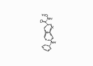 O=C(NO)c1cnc2cc(Nc3ccccc3)ccc2c1